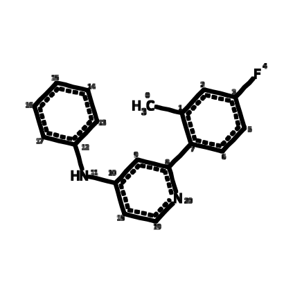 Cc1cc(F)ccc1-c1cc(Nc2ccccc2)ccn1